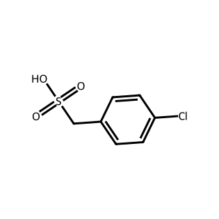 O=S(=O)(O)Cc1ccc(Cl)cc1